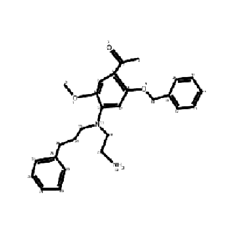 COc1cc(C(C)=O)c(OCc2ccccc2)cc1N(CCN)CCCc1ccccc1